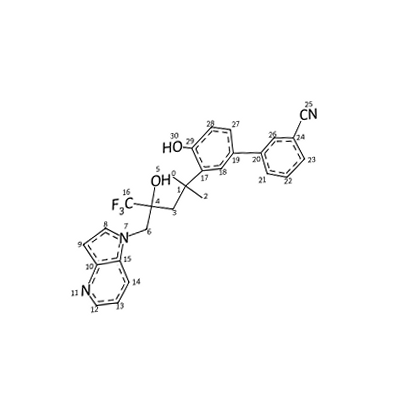 CC(C)(CC(O)(Cn1ccc2ncccc21)C(F)(F)F)c1cc(-c2cccc(C#N)c2)ccc1O